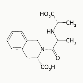 CC(N[C@@H](C)C(=O)O)C(=O)N1Cc2ccccc2C[C@H]1C(=O)O